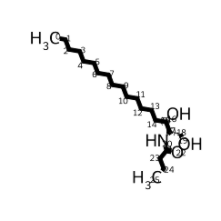 CCCCCCCCCCCCCCC[C@@H](O)[C@H](CO)NC(=O)CCC